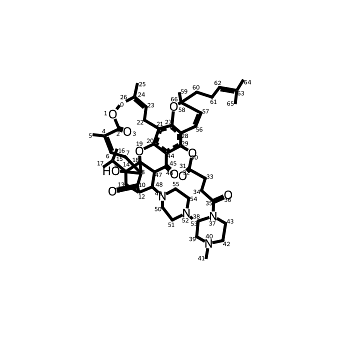 COC(=O)/C(C)=C\CC1(O)C(=O)C2CC(C(C)C)C13Oc1c(CC=C(C)C)c4c(c(OC(=O)CCC(=O)N5CCN(C)CC5)c1C(=O)C3C2N1CCN(C)CC1)C=CC(C)(CCC=C(C)C)O4